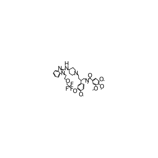 COc1ccc(C(CCN2CCC(Nc3nc4ccccc4n3CCOCC(F)(F)F)CC2)CN(C)C(=O)c2cc(OC)c(OC)c(OC)c2)cc1OC